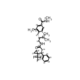 CNC(=O)c1ccc(C[C@@H](CNC(=O)C[C@@H](c2ccccc2)C2(C(F)(F)F)CC2)N(C)C)c(C)c1